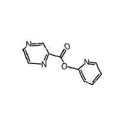 O=C(Oc1ccccn1)c1cnccn1